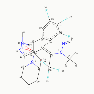 C=NN(/C(=C(\C)C(=O)N1C2CCCC1c1nn(C)c(-c3cc(F)c(F)c(F)c3)c1C2)C(F)(F)F)C(C)(C)C